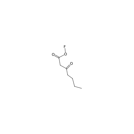 CCCCC(=O)CC(=O)OF